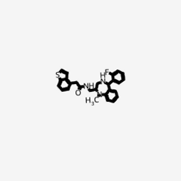 CN1c2ccccc2C(c2ccccc2F)NCC1CNC(=O)Cc1cccc2sccc12